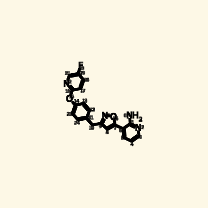 Nc1ncccc1-c1cc(Cc2ccc(Oc3ccc(F)cn3)cc2)no1